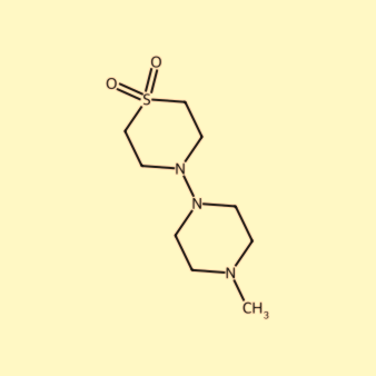 CN1CCN(N2CCS(=O)(=O)CC2)CC1